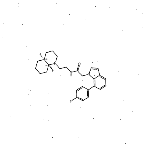 O=C(Cn1ccc2cccc(-c3ccc(F)cc3)c21)NCCN1CCC[C@@H]2CCCC[C@H]21